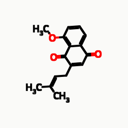 COc1cccc2c1C(=O)C(CC=C(C)C)=CC2=O